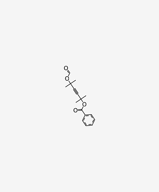 CC(C)(C#CC(C)(C)OC(=O)c1ccccc1)OC=O